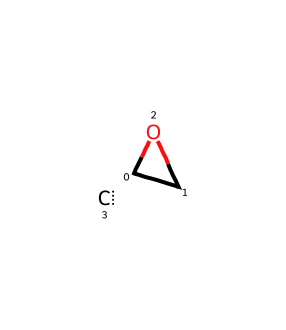 C1CO1.[C]